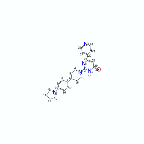 Cn1c(N2CCC(c3ccc(N4CCCC4)cc3)CC2)nc(-c2ccncc2)cc1=O